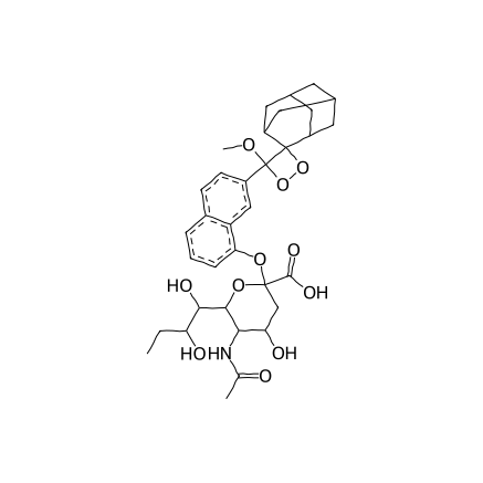 CCC(O)C(O)C1OC(Oc2cccc3ccc(C4(OC)OOC45C4CC6CC(C4)CC5C6)cc23)(C(=O)O)CC(O)C1NC(C)=O